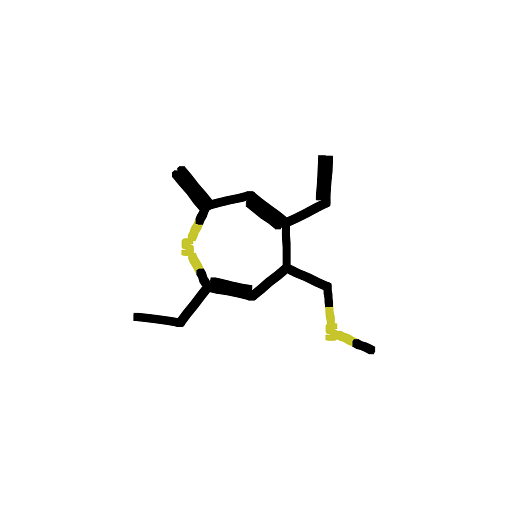 C=CC1=CC(=C)SC(CC)=CC1CSC